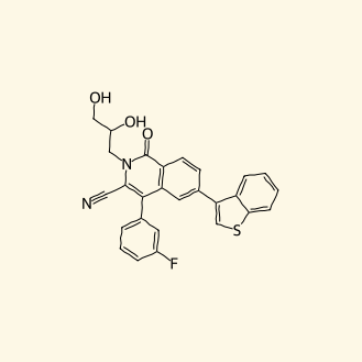 N#Cc1c(-c2cccc(F)c2)c2cc(-c3csc4ccccc34)ccc2c(=O)n1CC(O)CO